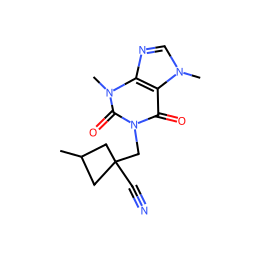 CC1CC(C#N)(Cn2c(=O)c3c(ncn3C)n(C)c2=O)C1